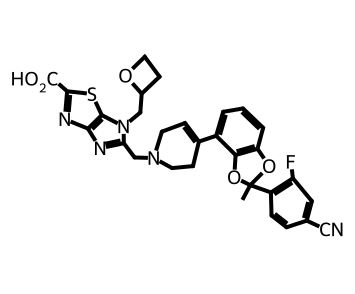 CC1(c2ccc(C#N)cc2F)Oc2cccc(C3=CCN(Cc4nc5nc(C(=O)O)sc5n4CC4CCO4)CC3)c2O1